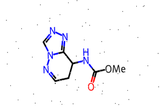 COC(=O)NC1C[C]=Nn2cnnc21